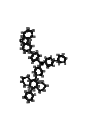 c1ccc(-c2ccc(N(c3ccc(-c4ccc5oc6ccccc6c5c4)cc3)c3ccc(-c4c5c(c(-c6ccccc6)c6c4CCCC6)CCCC5)cc3)cc2)cc1